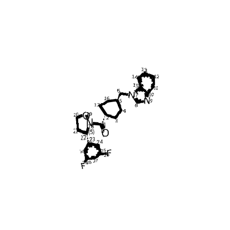 O=C([C@H]1CC[C@H](Cn2cnc3ccccc32)CC1)N1OCC[C@H]1c1cc(F)cc(F)c1